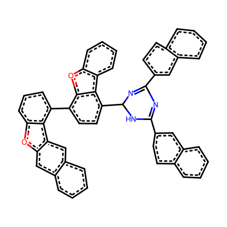 c1ccc2cc(C3=NC(c4ccc(-c5cccc6oc7cc8ccccc8cc7c56)c5oc6ccccc6c45)NC(c4ccc5ccccc5c4)=N3)ccc2c1